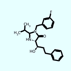 CC(C)C1N[C@@H]([C@H](O)[CH]Cc2ccccc2)C(=O)N1Cc1cccc(F)c1